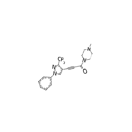 CN1CCN(C(=O)C#Cc2cn(-c3ccccc3)nc2C(F)(F)F)CC1